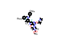 CC[C@@H]1CN2c3nc(OCC4(CN5CC5(C)C)CC4)nc4c(F)c(-c5cc(N(Cc6ccc(OC)cc6)Cc6ccc(OC)cc6)c(F)c(C)c5C(F)(F)F)nc(c34)O[C@@H](C)[C@@H]2[C@H](C)N1C(=O)OC(C)(C)C